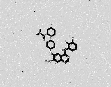 COc1cc2ncnc(Nc3cccc(Cl)c3F)c2cc1O[C@H]1CC[C@H](N2CCCC[C@H]2C(=O)N(C)C)CC1